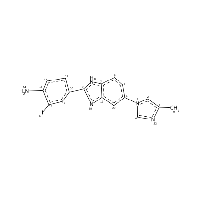 Cc1cn(-c2ccc3[nH]c(-c4ccc(N)c(I)c4)nc3c2)cn1